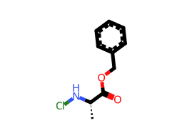 C[C@H](NCl)C(=O)OCc1ccccc1